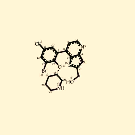 OCc1cc2nccc(-c3cc(Cl)cc(Br)c3O[C@H]3CCCNC3)c2s1